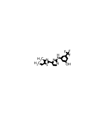 C=Cc1sc(-c2ccnc(Nc3cc(O)cc(C(F)(F)F)c3)n2)nc1C